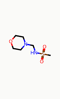 CS(=O)(=O)NCN1CCOCC1